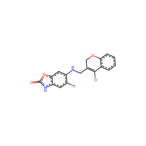 O=c1[nH]c2cc(F)c(NCC3=C(Cl)c4ccccc4OC3)cc2o1